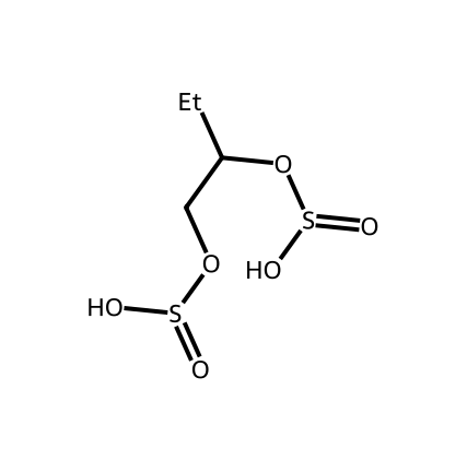 CCC(COS(=O)O)OS(=O)O